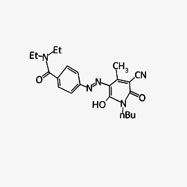 CCCCn1c(O)c(/N=N/c2ccc(C(=O)N(CC)CC)cc2)c(C)c(C#N)c1=O